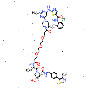 Cc1nc(Nc2ncc(C(=O)Nc3c(C)cccc3Cl)s2)cc(N2CCN(C(=O)CCOCCOCCOCCC(=O)N[C@H](C(=O)N3C[C@H](O)C[C@H]3C(=O)NCc3ccc(-c4scnc4C)cc3)C(C)(C)C)CC2)n1